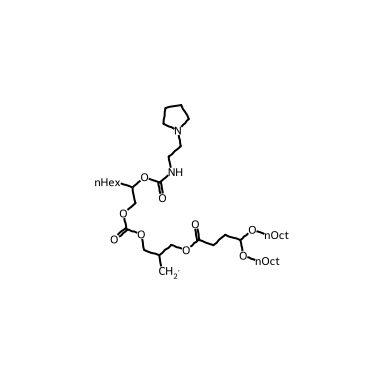 [CH2]C(COC(=O)CCC(OCCCCCCCC)OCCCCCCCC)COC(=O)OCC(CCCCCC)OC(=O)NCCN1CCCC1